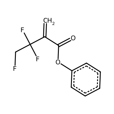 C=C(C(=O)Oc1ccccc1)C(F)(F)CF